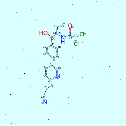 N#CCCc1ccc(-c2ccc([C@@H](O)[C@@H](CF)NC(=O)C(Cl)Cl)cc2)cn1